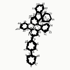 c1ccc(-c2ccc(-c3cc(-c4ccccc4-c4cccc5c4C4(CCCCC4)c4ccccc4-5)nc(-c4ccccc4)n3)cc2)cc1